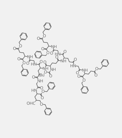 CC(C)(C)OC(=O)NC(CCC(=O)NC(CCC(=O)NCC(=O)NC(CCC(=O)OCc1ccccc1)C(=O)OCc1ccccc1)C(=O)NCC(=O)NC(CCC(=O)OCc1ccccc1)C(=O)OCc1ccccc1)C(=O)NC(CCC(=O)NCC(=O)NC(CC(C=O)COCc1ccccc1)C(=O)OCc1ccccc1)C(=O)NCC(=O)NC(CCC(=O)OCc1ccccc1)C(=O)OCc1ccccc1